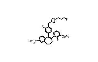 COc1nccc(C2=C(c3ccc(CC4CN(CCCF)C4)c(F)c3)c3ccc(C(=O)O)cc3CCC2)c1F